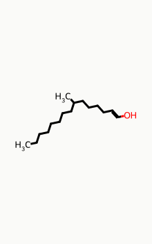 CCCCCCCCC(C)CCCC/C=C/O